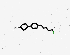 N#Cc1ccc(-c2ccc(CCCCCF)cc2)cc1